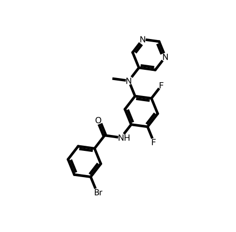 CN(c1cncnc1)c1cc(NC(=O)c2cccc(Br)c2)c(F)cc1F